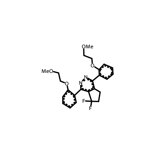 COCCOc1ccccc1-c1nnc(-c2ccccc2OCCOC)c2c1CCC2(F)F